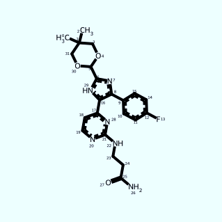 CC1(C)COC(c2nc(-c3ccc(F)cc3)c(-c3ccnc(NCCC(N)=O)n3)[nH]2)OC1